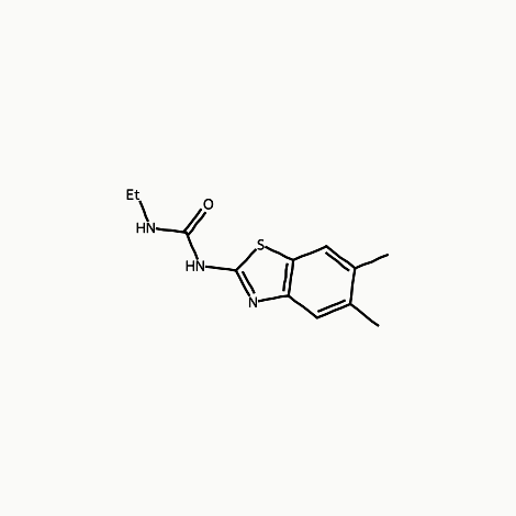 CCNC(=O)Nc1nc2cc(C)c(C)cc2s1